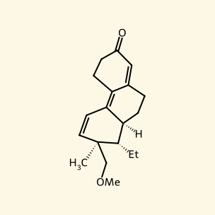 CC[C@H]1[C@@H]2CCC3=CC(=O)CCC3=C2C=C[C@]1(C)COC